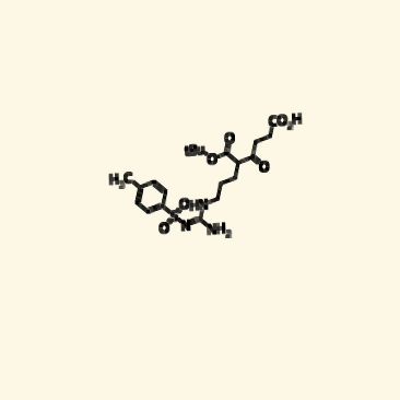 Cc1ccc(S(=O)(=O)N=C(N)NCCCC(C(=O)CCC(=O)O)C(=O)OC(C)(C)C)cc1